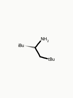 CC[C@@H](C)C(N)CC(C)(C)C